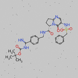 CC(C)(C)OC(=O)NC(=N)c1ccc(CNC(=O)[C@@H]2CCc3ncc(NS(=O)(=O)Cc4ccccc4)c(=O)n32)cc1